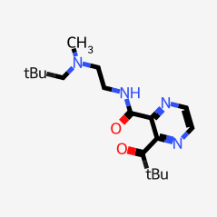 CN(CCNC(=O)c1nccnc1C(=O)C(C)(C)C)CC(C)(C)C